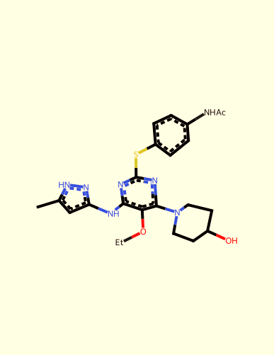 CCOc1c(Nc2cc(C)[nH]n2)nc(Sc2ccc(NC(C)=O)cc2)nc1N1CCC(O)CC1